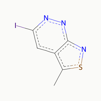 Cc1snc2nnc(I)cc12